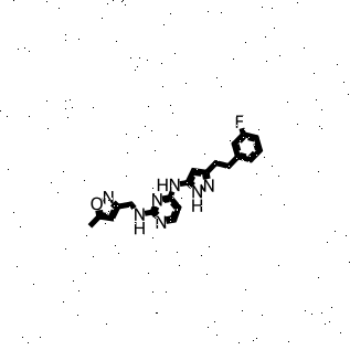 Cc1cc(CNc2nccc(Nc3cc(CCc4cccc(F)c4)n[nH]3)n2)no1